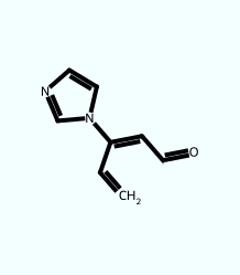 C=CC(=C[C]=O)n1ccnc1